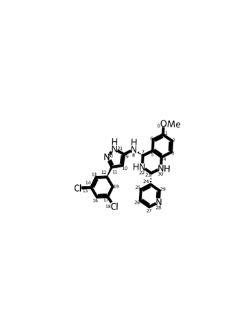 COc1ccc2c(c1)[C@@H](Nc1cc([C@@H]3C=C(Cl)C=C(Cl)C3)n[nH]1)N[C@@H](c1cccnc1)N2